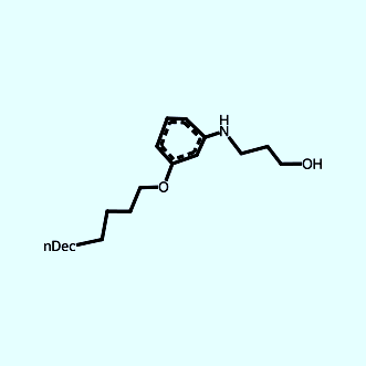 CCCCCCCCCCCCCCOc1cccc(NCCCO)c1